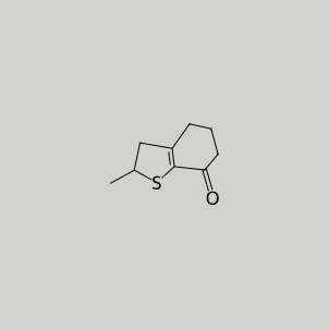 CC1CC2=C(S1)C(=O)CCC2